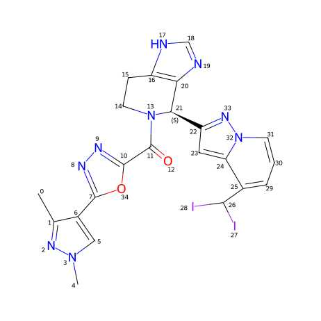 Cc1nn(C)cc1-c1nnc(C(=O)N2CCc3[nH]cnc3[C@H]2c2cc3c(C(I)I)cccn3n2)o1